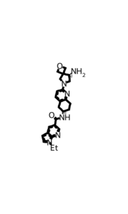 CCn1ccc2cc(C(=O)N[C@H]3CCc4nc(N5C[C@@H](N)C6(COC6)C5)ccc4C3)cnc21